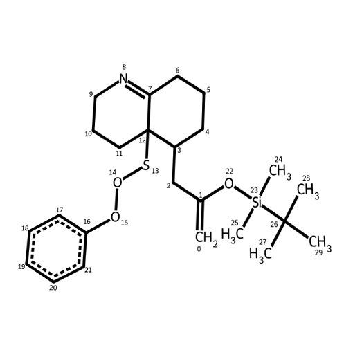 C=C(CC1CCCC2=NCCCC21SOOc1ccccc1)O[Si](C)(C)C(C)(C)C